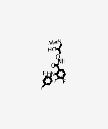 CNCC(O)CONC(=O)c1ccc(F)c(F)c1Nc1ccc(I)cc1F